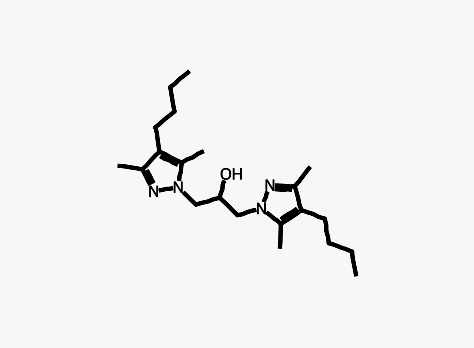 CCCCc1c(C)nn(CC(O)Cn2nc(C)c(CCCC)c2C)c1C